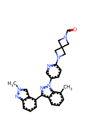 Cc1cccc2c(-c3cccc4nn(C)cc34)nn(-c3ccc(N4CC5(CN(C=O)C5)C4)nc3)c12